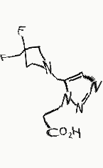 O=C(O)Cn1nncc1N1CC(F)(F)C1